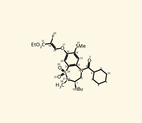 CCCC[C@@H]1CN(C(=O)C2CCCCC2)c2cc(SC)c(O/C=C(\F)C(=O)OCC)cc2S(=O)(=O)N1C